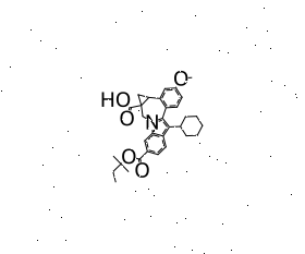 CCC(C)(C)OC(=O)c1ccc2c(C3CCCCC3)c3n(c2c1)CC1(C(=O)O)CC1c1cc(OC)ccc1-3